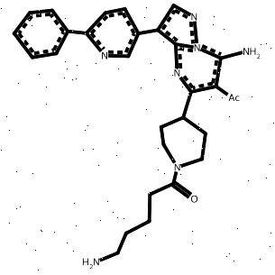 CC(=O)c1c(C2CCN(C(=O)CCCCN)CC2)nc2c(-c3ccc(-c4ccccc4)nc3)cnn2c1N